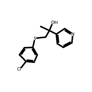 CC(O)(CSc1ccc(Cl)cc1)c1cccnc1